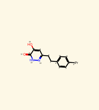 CC(C)c1ccc(CCc2cc(O)c(=O)[nH]n2)cc1